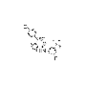 O=C(Nc1cc(F)cc(C(F)(F)F)c1)c1ncsc1[S+]([O-])c1ccc(Cl)cc1